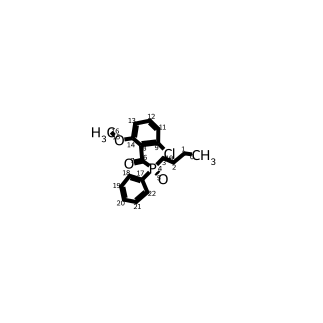 CCCCP(=O)(C(=O)c1c(Cl)cccc1OC)c1ccccc1